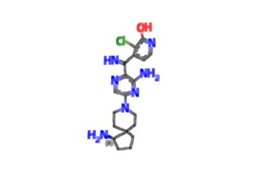 N=C(c1ccnc(O)c1Cl)c1ncc(N2CCC3(CCC[C@H]3N)CC2)nc1N